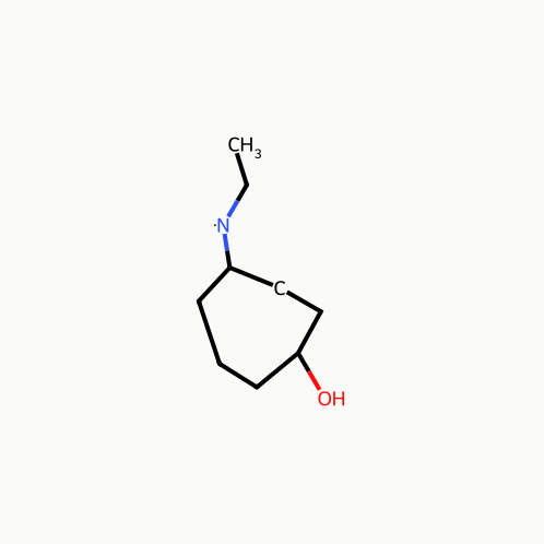 CC[N]C1CCCC(O)CC1